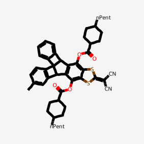 CCCCCC1CCC(C(=O)Oc2c3c(c(OC(=O)C4CCC(CCCCC)CC4)c4c2C2c5ccccc5C25c2ccc(C)cc2C45)SC(=C(C#N)C#N)S3)CC1